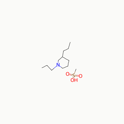 CCCC1CCCN(CCC)C1.CS(=O)(=O)O